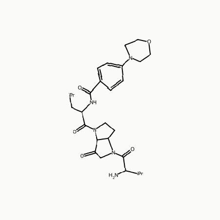 CC(C)CC(NC(=O)c1ccc(N2CCOCC2)cc1)C(=O)N1CCC2C1C(=O)CN2C(=O)C(N)C(C)C